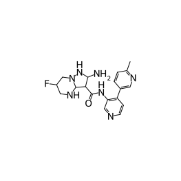 Cc1ccc(-c2ccncc2NC(=O)C2C(N)NN3CC(F)CNC23)cn1